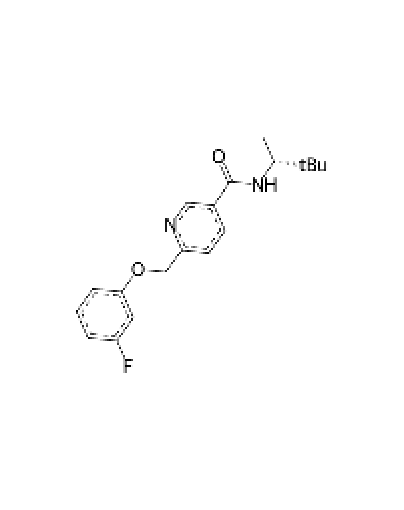 C[C@@H](NC(=O)c1ccc(COc2cccc(F)c2)nc1)C(C)(C)C